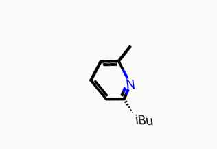 CC[C@@H](C)c1cccc(C)n1